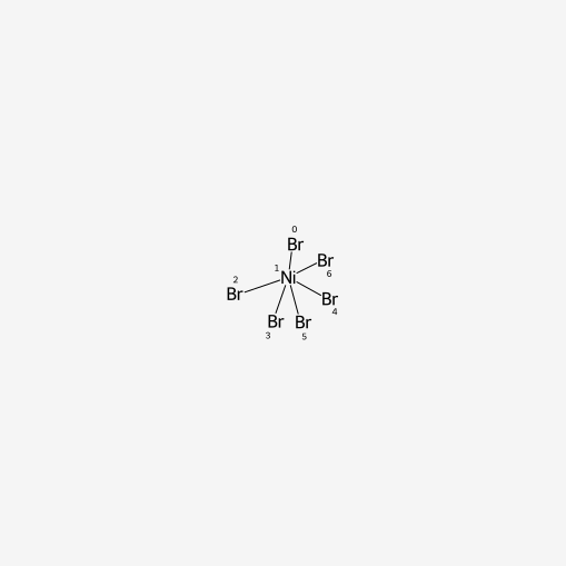 [Br][Ni]([Br])([Br])([Br])([Br])[Br]